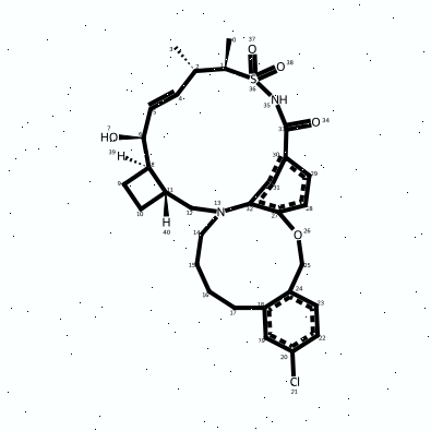 C[C@@H]1[C@@H](C)/C=C/[C@H](O)[C@@H]2CC[C@H]2CN2CCCCc3cc(Cl)ccc3COc3ccc(cc32)C(=O)NS1(=O)=O